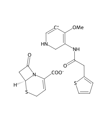 COC1=C(NC(=O)Cc2cccs2)CNC=[C+]1.O=C([O-])C1=CCS[C@H]2CC(=O)N12